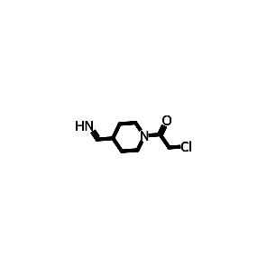 N=CC1CCN(C(=O)CCl)CC1